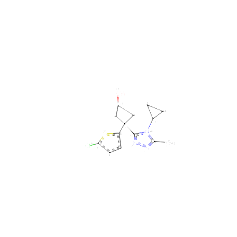 CC(C)(C)c1nnc([C@]2(c3ccc(Cl)s3)C[C@H](O)C2)n1C1CC1